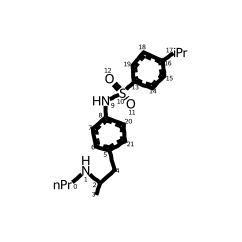 CCCNC(C)Cc1ccc(NS(=O)(=O)c2ccc(C(C)C)cc2)cc1